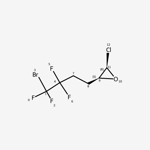 FC(F)(Br)C(F)(F)CC[C@@H]1O[C@@H]1Cl